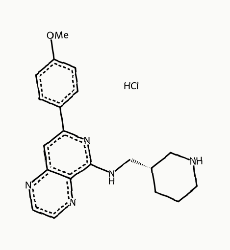 COc1ccc(-c2cc3nccnc3c(NC[C@H]3CCCNC3)n2)cc1.Cl